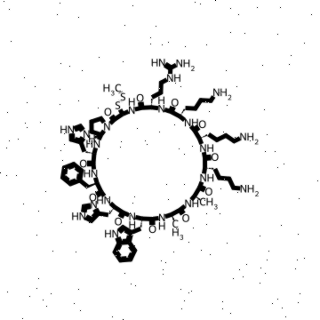 CSSC1NC(=O)[C@H](CCCNC(=N)N)NC(=O)[C@H](CCCCN)NC(=O)[C@H](CCCCN)NC(=O)[C@H](CCCCN)NC(=O)[C@H](C)NC(=O)[C@H](C)NC(=O)[C@H](Cc2c[nH]c3ccccc23)NC(=O)[C@H](Cc2c[nH]cn2)NC(=O)[C@@H](Cc2ccccc2)NC(=O)[C@H](Cc2c[nH]cn2)N[C@@H]2CCCN2C1=O